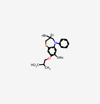 CCCCC1(CC)CSc2cc(OCC(C)C(=O)O)c(SC)cc2N(c2ccccc2)C1